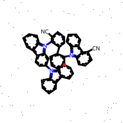 N#Cc1cccc(-c2ccccc2-n2c3ccccc3c3c(C#N)cccc32)c1-n1c2ccccc2c2ccc(-n3c4ccccc4c4ccccc43)cc21